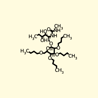 CCCCOCC1O[C@H](OC[C@H](NC(=O)NC)[C@H](O)[C@H](O)CC)C(OCCCC)[C@@H](OCCCC)[C@H]1OCCCC